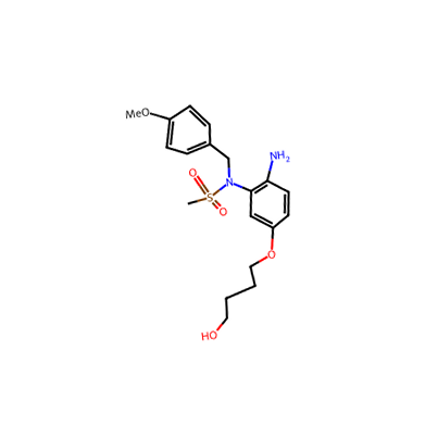 COc1ccc(CN(c2cc(OCCCCO)ccc2N)S(C)(=O)=O)cc1